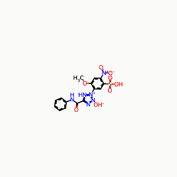 COc1cc([N+](=O)[O-])c(S(=O)(=O)O)cc1-[n+]1nnc(C(=O)Nc2ccccc2)[nH]1.[OH-]